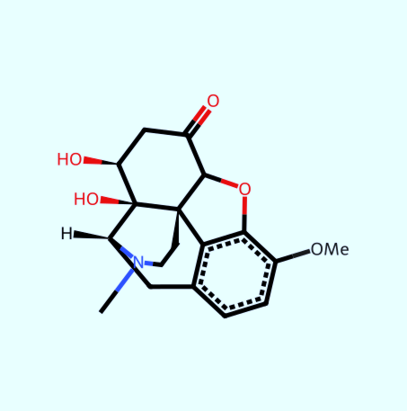 COc1ccc2c3c1OC1C(=O)C[C@H](O)[C@@]4(O)[C@@H](C2)N(C)CC[C@]314